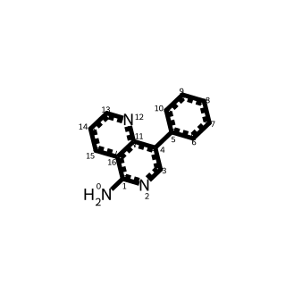 Nc1ncc(-c2ccccc2)c2ncccc12